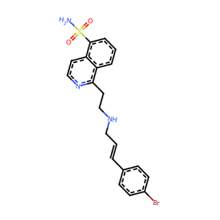 NS(=O)(=O)c1cccc2c(CCNCC=Cc3ccc(Br)cc3)nccc12